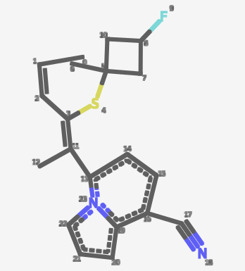 C/C=C\C(SC1(C)CC(F)C1)=C(/C)c1ccc(C#N)c2cccn12